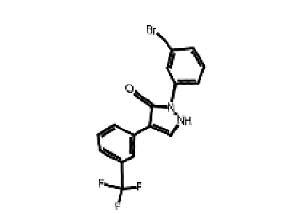 O=c1c(-c2cccc(C(F)(F)F)c2)c[nH]n1-c1cccc(Br)c1